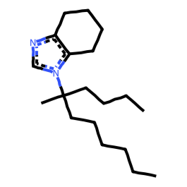 CCCCCCC(C)(CCCC)n1cnc2c1CCCC2